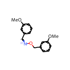 COc1cccc(/[C]=N\OCc2cccc(OC)c2)c1